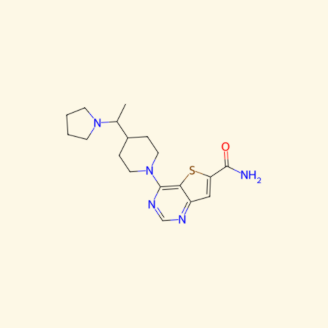 CC(C1CCN(c2ncnc3cc(C(N)=O)sc23)CC1)N1CCCC1